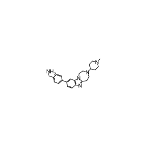 CN1CCC(N2CCc3nc4ccc(-c5ccc(CN)cc5)cc4n3CC2)CC1